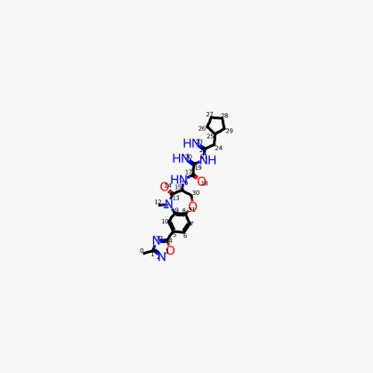 Cc1noc(-c2ccc3c(c2)N(C)C(=O)C(NC(=O)C(=N)NC(=N)CC2CCCC2)CO3)n1